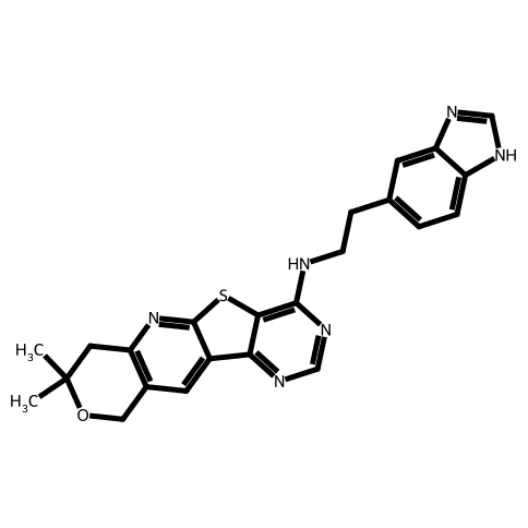 CC1(C)Cc2nc3sc4c(NCCc5ccc6[nH]cnc6c5)ncnc4c3cc2CO1